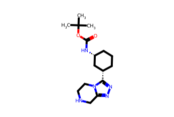 CC(C)(C)OC(=O)N[C@@H]1CCC[C@H](c2nnc3n2CCNC3)C1